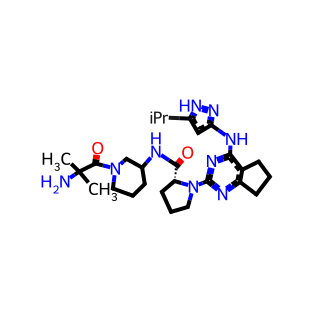 CC(C)c1cc(Nc2nc(N3CCC[C@@H]3C(=O)NC3CCCN(C(=O)C(C)(C)N)C3)nc3c2CCC3)n[nH]1